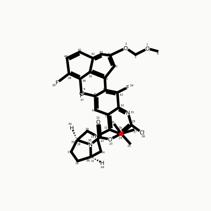 COCOc1cc(-c2c(Cl)cc3c(N4C[C@H]5CC[C@@H](C4)N5C(=O)OC(C)(C)C)nc(Cl)nc3c2F)c2c(F)c(F)ccc2c1